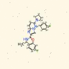 CC(NC(=O)c1cn2nc(N3CCC[C@@H]3c3cccc(F)c3)ccc2n1)c1ccc(F)cc1